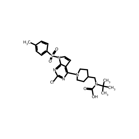 Cc1ccc(S(=O)(=O)n2ccc3c(N4CCC(CN(C(=O)O)C(C)(C)C)CC4)nc(Cl)nc32)cc1